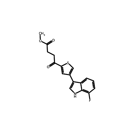 COC(=O)CCC(=O)c1cc(-c2c[nH]c3c(F)cccc23)cs1